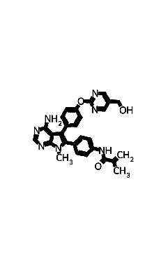 C=C(C)C(=O)Nc1ccc(-c2c(-c3ccc(Oc4ncc(CO)cn4)cc3)c3c(N)ncnc3n2C)cc1